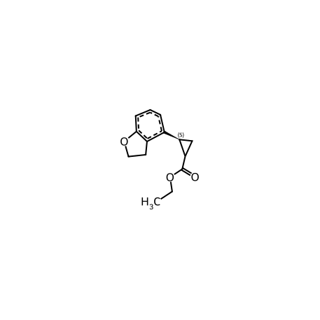 CCOC(=O)C1C[C@@H]1c1cccc2c1CCO2